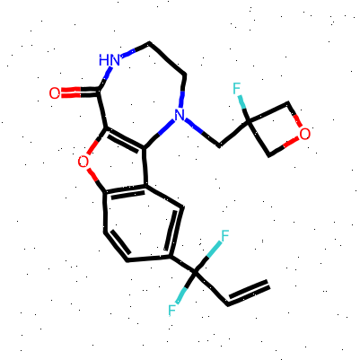 C=CC(F)(F)c1ccc2oc3c(c2c1)N(CC1(F)COC1)CCNC3=O